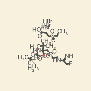 Br.Br.Br.CC(C)(C)OC(=O)NC(CS(=O)(=O)CCNC(=N)CF)(C(=O)O)C(C)(C)C.CCS(=O)(=O)CCC(=O)O